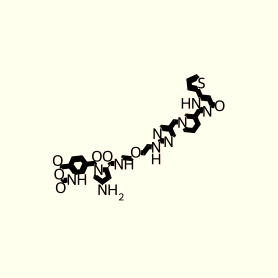 N[C@H]1C[C@@H](C(=O)NCCOCCNc2ncc(CN3CCCC(c4nc(=O)cc(-c5cccs5)[nH]4)C3)cn2)N(C(=O)c2ccc3c(=O)oc(=O)[nH]c3c2)C1